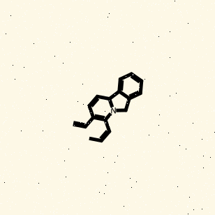 C=CC1=C(/C=C\C)N2Cc3ccccc3C2C=C1